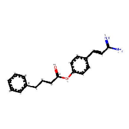 N=C(N)/C=C/c1ccc(OC(=O)CCCc2ccccc2)cc1